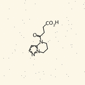 O=C(O)CCC(=O)N1CCCn2nccc21